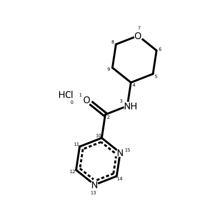 Cl.O=C(NC1CCOCC1)c1ccncn1